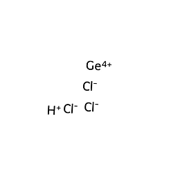 [Cl-].[Cl-].[Cl-].[Ge+4].[H+]